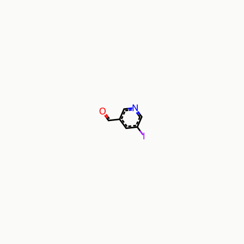 O=Cc1cncc(I)c1